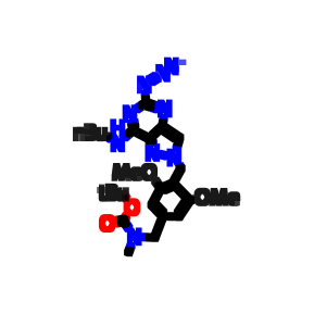 CCCCNc1nc(N=[N+]=[N-])nc2cn(Cc3c(OC)cc(CN(C)C(=O)OC(C)(C)C)cc3OC)nc12